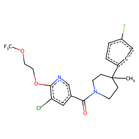 CC1(c2ccc(F)cc2)CCN(C(=O)c2cnc(OCCOC(F)(F)F)c(Cl)c2)CC1